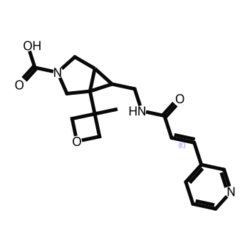 CC1(C23CN(C(=O)O)CC2C3CNC(=O)/C=C/c2cccnc2)COC1